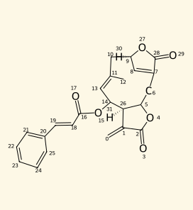 C=C1C(=O)OC2CC3=C[C@@H](C/C(C)=C/C(OC(=O)/C=C/c4ccccc4)[C@H]12)OC3=O